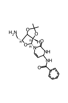 CC1(C)OC2[C@@H](CN)O[C@@H](N3C=CC(NC(=O)c4ccccc4)NC3=O)[C@H]2O1